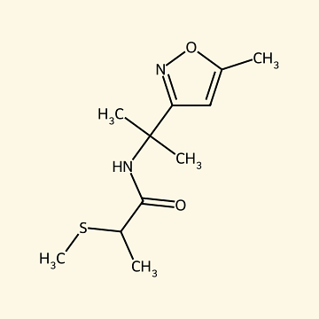 CSC(C)C(=O)NC(C)(C)c1cc(C)on1